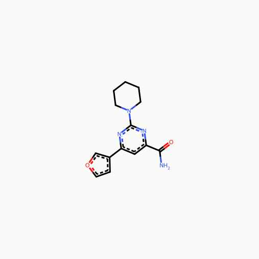 NC(=O)c1cc(-c2ccoc2)nc(N2CCCCC2)n1